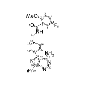 COc1ccc(F)cc1C(=O)NCc1ccc(-c2nc(C(C)C)n3ncnc(N)c23)cc1